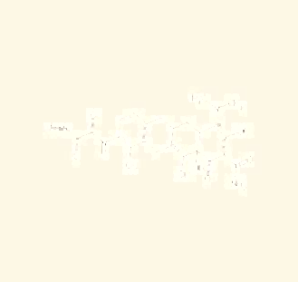 CNC(=O)C(=O)Nc1ccc2c(c1O)CC1=C(O)C3(O)C(=O)C(C(N)=O)=C(O)[C@@H](N(C)C)C3CC1C2